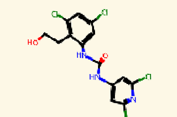 O=C(Nc1cc(Cl)nc(Cl)c1)Nc1cc(Cl)cc(Cl)c1CCO